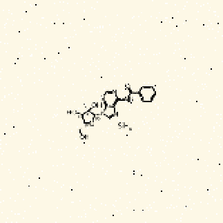 C[C@@]1(O)[C@H](O)[C@@H](CO)O[C@H]1n1cnc2c(NC(=O)c3ccccc3)ncnc21.[SiH4]